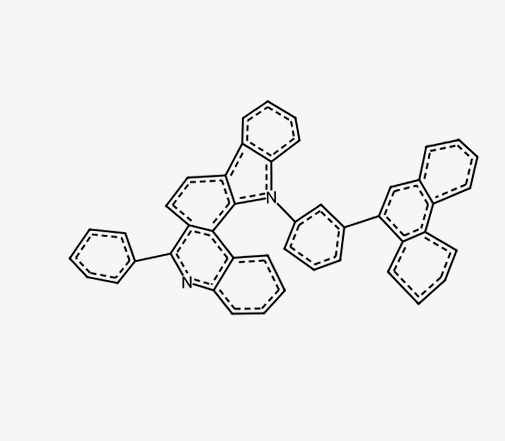 c1ccc(-c2nc3ccccc3c3c2ccc2c4ccccc4n(-c4cccc(-c5cc6ccccc6c6ccccc56)c4)c23)cc1